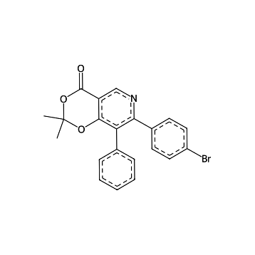 CC1(C)OC(=O)c2cnc(-c3ccc(Br)cc3)c(-c3ccccc3)c2O1